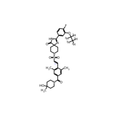 [2H]C([2H])([2H])C([2H])([2H])Oc1cc(C2=NC3(CCN(S(=O)(=O)/C=C/c4c(C)cc(C(=O)N5CCC(C)(O)CC5)cc4C)CC3)C(=O)N2)ccc1F